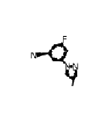 Cc1cnn(-c2cc(F)cc(C#N)c2)c1